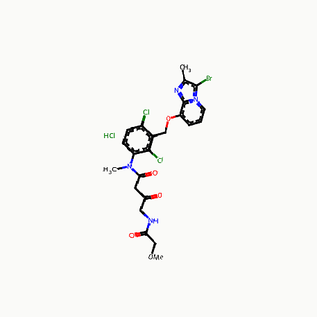 COCC(=O)NCC(=O)CC(=O)N(C)c1ccc(Cl)c(COc2cccn3c(Br)c(C)nc23)c1Cl.Cl